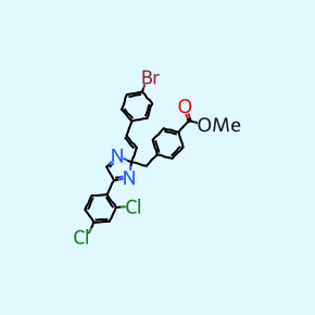 COC(=O)c1ccc(CC2(C=Cc3ccc(Br)cc3)N=CC(c3ccc(Cl)cc3Cl)=N2)cc1